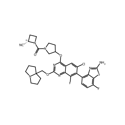 N#C[C@@H]1CCN1C(=O)N1CCC(Oc2nc(OCC34CCCN3CCC4)nc3c(F)c(-c4ccc(F)c5sc(N)nc45)c(Cl)cc23)C1